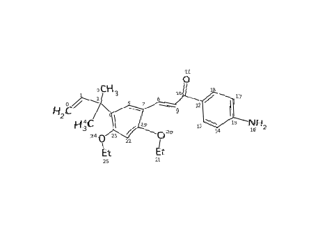 C=CC(C)(C)c1cc(/C=C/C(=O)c2ccc(N)cc2)c(OCC)cc1OCC